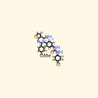 COc1ccc(C2=Nc3occc3C(N)N2c2ccc(NC(=O)Nc3ccc(Cl)cc3)cc2)cc1